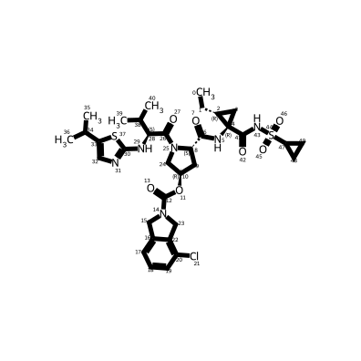 CC[C@@H]1C[C@]1(NC(=O)[C@@H]1C[C@@H](OC(=O)N2Cc3cccc(Cl)c3C2)CN1C(=O)[C@@H](Nc1ncc(C(C)C)s1)C(C)C)C(=O)NS(=O)(=O)C1CC1